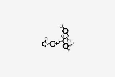 CN(Cc1ccc(Cl)cc1)C(=O)C(CCN1CCC(N2CCCC2=O)CC1)c1ccc(F)c(F)c1